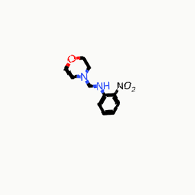 O=[N+]([O-])c1ccccc1NCN1CCOCC1